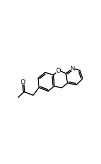 CC(=O)Cc1ccc2c(c1)Cc1cccnc1O2